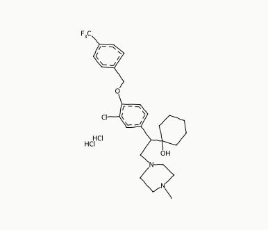 CN1CCN(CC(c2ccc(OCc3ccc(C(F)(F)F)cc3)c(Cl)c2)C2(O)CCCCC2)CC1.Cl.Cl